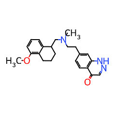 COc1cccc2c1CCCC2CN(C)CCc1ccc2c(=O)cn[nH]c2c1